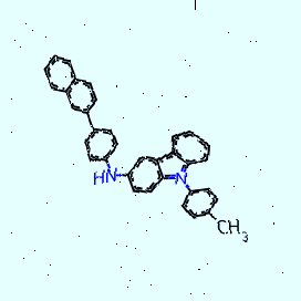 Cc1ccc(-n2c3ccccc3c3cc(Nc4ccc(-c5ccc6ccccc6c5)cc4)ccc32)cc1